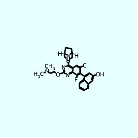 CN(C)CCOc1nc(N2C[C@H]3CC[C@@H](C2)N3)c2cc(Cl)c(-c3cc(O)cc4ccccc34)c(F)c2n1